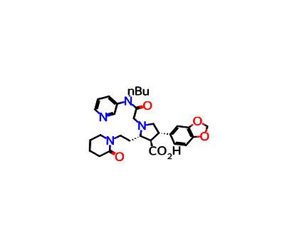 CCCCN(C(=O)CN1C[C@H](c2ccc3c(c2)OCO3)[C@@H](C(=O)O)[C@@H]1CCN1CCCCC1=O)c1cccnc1